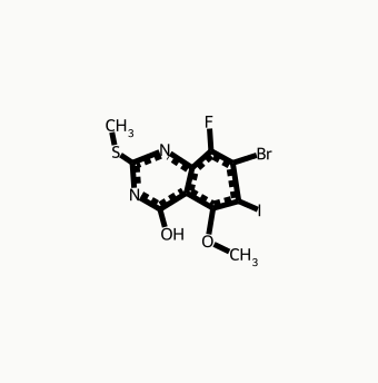 COc1c(I)c(Br)c(F)c2nc(SC)nc(O)c12